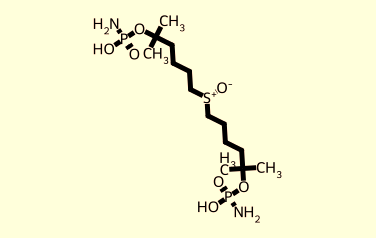 CC(C)(CCCC[S+]([O-])CCCCC(C)(C)OP(N)(=O)O)OP(N)(=O)O